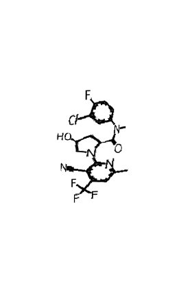 Cc1cc(C(F)(F)F)c(C#N)c(N2C[C@@H](O)C[C@H]2C(=O)N(C)c2ccc(F)c(Cl)c2)n1